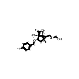 N[C@]1(C(=O)O)[C@@H]2C(COCO)[C@@H]2C[C@H]1OCc1ccc(F)cc1